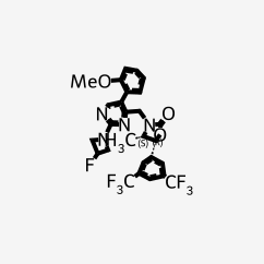 COc1ccccc1-c1cnc(N2CC(F)C2)nc1CN1C(=O)O[C@H](c2cc(C(F)(F)F)cc(C(F)(F)F)c2)[C@@H]1C